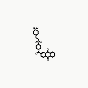 O=C1c2ccccc2C(=O)c2cc(C(=O)N3CCC(S(=O)(=O)CCN4CCS(=O)(=O)CC4)CC3)ccc21